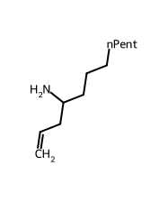 C=CCC(N)CCCCCCCC